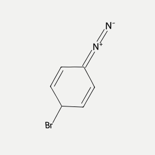 [N-]=[N+]=C1C=CC(Br)C=C1